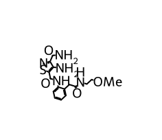 COCCNC(=O)Cc1ccccc1NC(=O)c1snc(C(N)=O)c1N